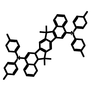 CC1=CC=C(N(C2=CCC(C)C=C2)C2=CC3c4cc5c(cc4C(C)(C)C3C3CC=CC=C23)-c2cc(N(C3=CCC(C)C=C3)C3=CC=C(C)CC3)c3ccccc3c2C5(C)C)CC1